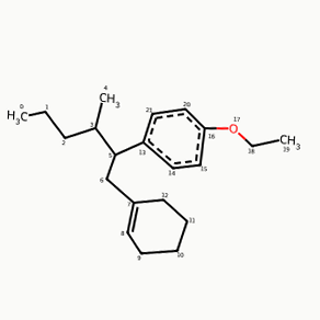 CCCC(C)C(CC1=CCCCC1)c1ccc(OCC)cc1